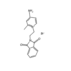 Cc1cc(N)cc[n+]1CCN1C(=O)c2ccccc2C1=O.[Br-]